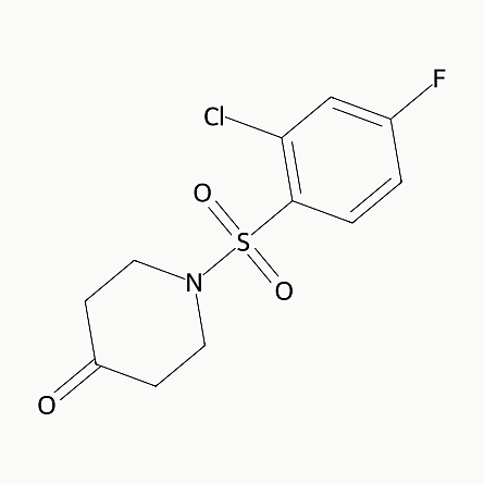 O=C1CCN(S(=O)(=O)c2ccc(F)cc2Cl)CC1